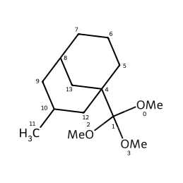 COC(OC)(OC)C12CCCC(CC(C)C1)C2